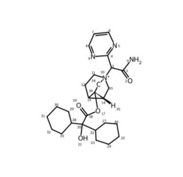 NC(=O)C(c1ncccn1)[N+]12CCC(CC1)[C@@H](OC(=O)C(O)(C1CCCCC1)C1CCCCC1)C2